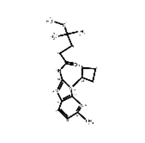 COC(C)(C)CCC(=O)Nc1nc2ccc(C)nc2n1C1CCC1